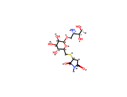 C[C@@H](O)[C@@H](O)[C@@H](N)CO[C@H]1OC(CSC2CC(=O)N(C)C2=O)[C@H](O)C(O)C1O